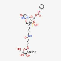 COP(O)(=S)OC1[C@@H](COC(=O)OCc2ccccc2)O[C@@H](n2ccc(=O)[nH]c2=O)[C@H]1C/C=C/CCCCNC(=O)CCCCO[C@@H]1O[C@H](CO)[C@H](O)[C@H](O)[C@H]1NC(C)=O